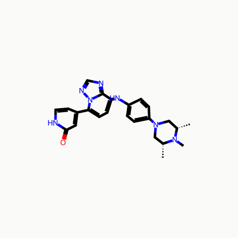 C[C@@H]1CN(c2ccc(Nc3ccc(-c4cc[nH]c(=O)c4)n4ncnc34)cc2)C[C@H](C)N1C